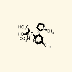 Cc1cnc(C)c([C@@H]2CCCN2C)c1.O=C(O)C[C@H](O)C(=O)O